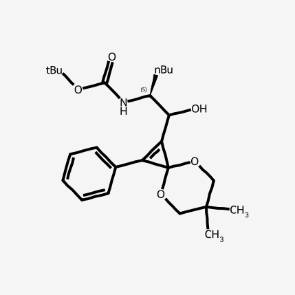 CCCC[C@H](NC(=O)OC(C)(C)C)C(O)C1=C(c2ccccc2)C12OCC(C)(C)CO2